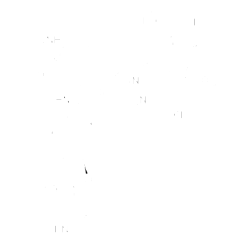 Cc1nn(-c2ccc(C(N)=O)c(N[C@H]3CC[C@H](OC(=O)CN)CC3)c2)c2c1C(=O)CC(C)(C)C2